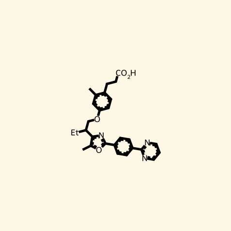 CCC(COc1ccc(CCC(=O)O)c(C)c1)c1nc(-c2ccc(-c3ncccn3)cc2)oc1C